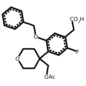 CC(=O)OCC1(c2cc(F)c(CC(=O)O)cc2OCc2ccccc2)CCOCC1